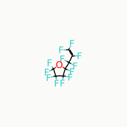 FC(F)=C(F)C(F)(F)C1(F)OC(F)(F)C(F)(F)C1(F)F